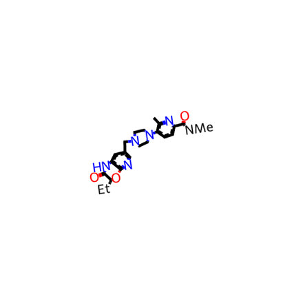 CCC1Oc2ncc(CN3CCN(c4ccc(C(=O)NC)nc4C)CC3)cc2NC1=O